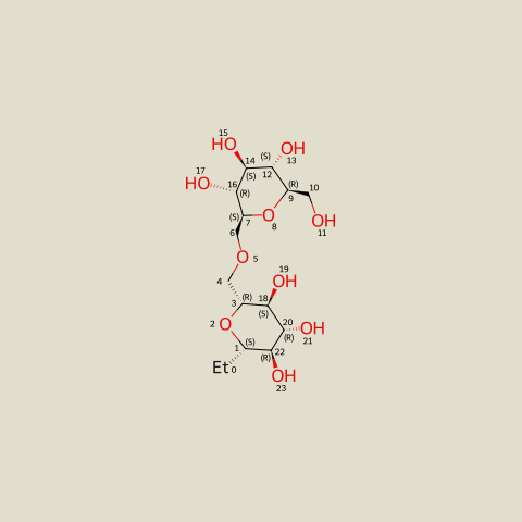 CC[C@@H]1O[C@H](COC[C@@H]2O[C@H](CO)[C@@H](O)[C@H](O)[C@H]2O)[C@@H](O)[C@H](O)[C@H]1O